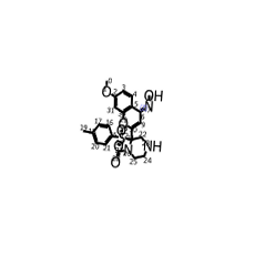 COc1ccc2/c(=N\O)cc(C3(S(=O)(=O)c4ccc(C)cc4)CNCCN3C=O)oc2c1